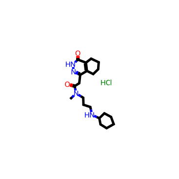 CN(CCCNC1CCCCC1)C(=O)Cc1n[nH]c(=O)c2c1CCCC2.Cl